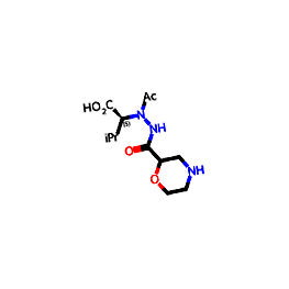 CC(=O)N(NC(=O)C1CNCCO1)[C@H](C(=O)O)C(C)C